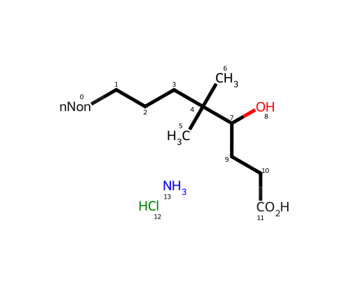 CCCCCCCCCCCCC(C)(C)C(O)CCC(=O)O.Cl.N